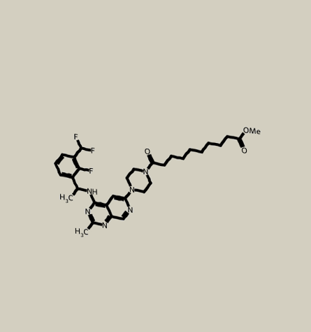 COC(=O)CCCCCCCCC(=O)N1CCN(c2cc3c(NC(C)c4cccc(C(F)F)c4F)nc(C)nc3cn2)CC1